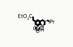 CCOC(=O)CCc1cc2c(c(S(=O)(=O)Cl)c1)NC[C@@H](CC(C)C)C2